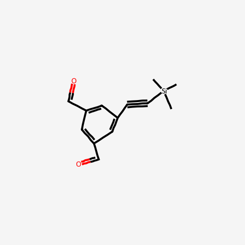 C[Si](C)(C)C#Cc1cc(C=O)cc(C=O)c1